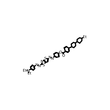 CCC1CCC(C2CCC(c3ccc(C(=O)Oc4ccc(N=Nc5cc6sc(N=Nc7ccc(N(CC)CC)cc7)nc6s5)cc4)cc3)CC2)CC1